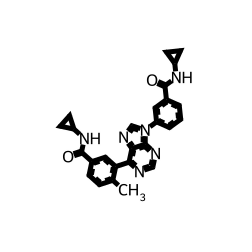 Cc1ccc(C(=O)NC2CC2)cc1-c1ncnc2c1ncn2-c1cccc(C(=O)NC2CC2)c1